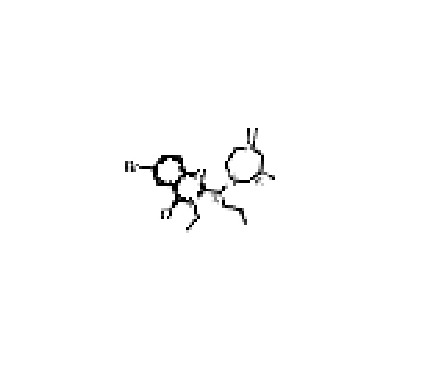 CCC[C@@H](c1nc2ccc(Br)cc2c(=O)n1CC)N1CCNC[C@@H](C)C1